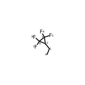 CC[C]1C(F)(F)C1(F)F